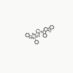 C1=CC(n2c3ccccc3c3c4oc5ccccc5c4ccc32)NC(C2=NC(c3ccccc3)NC(c3ccccc3)=N2)=C1